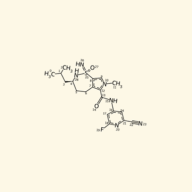 CC(C)C[C@@H]1CCc2c(cn(C)c2C(=O)Nc2cc(F)nc(C#N)c2)S(=N)(=O)N1